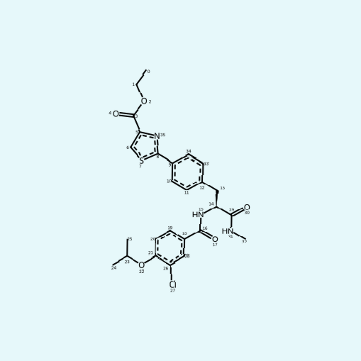 CCOC(=O)c1csc(-c2ccc(C[C@H](NC(=O)c3ccc(OC(C)C)c(Cl)c3)C(=O)NC)cc2)n1